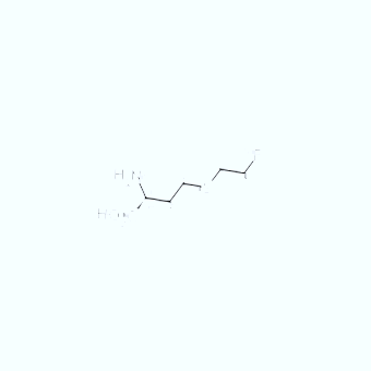 N[C@@H](CCSCC[18F])C(=O)O